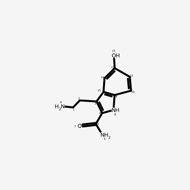 NCCc1c(C(N)=O)[nH]c2ccc(O)cc12